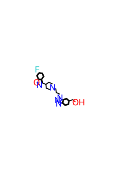 OCc1ccc2nnn(CCCN3CCC(c4noc5cc(F)ccc45)CC3)c2c1